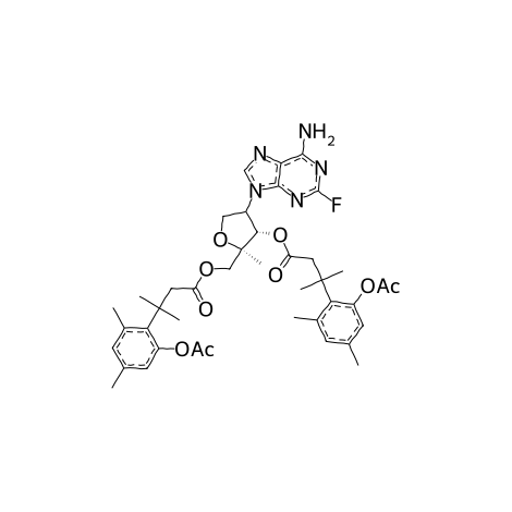 CC(=O)Oc1cc(C)cc(C)c1C(C)(C)CC(=O)OC[C@@]1(C)OCC(n2cnc3c(N)nc(F)nc32)[C@@H]1OC(=O)CC(C)(C)c1c(C)cc(C)cc1OC(C)=O